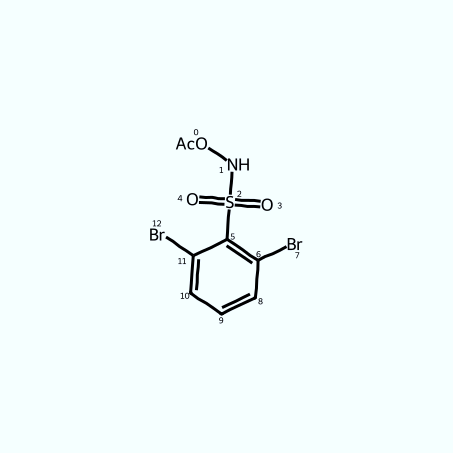 CC(=O)ONS(=O)(=O)c1c(Br)cccc1Br